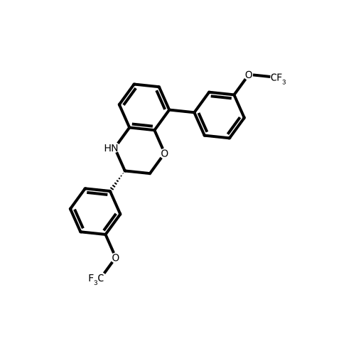 FC(F)(F)Oc1cccc(-c2cccc3c2OC[C@H](c2cccc(OC(F)(F)F)c2)N3)c1